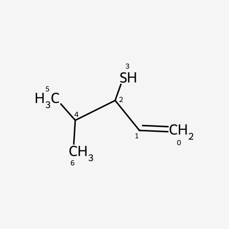 C=CC(S)C(C)C